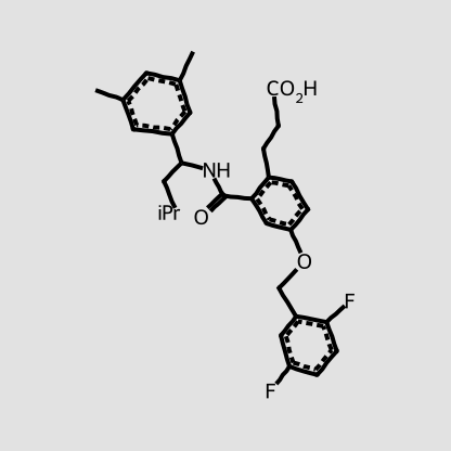 Cc1cc(C)cc(C(CC(C)C)NC(=O)c2cc(OCc3cc(F)ccc3F)ccc2CCC(=O)O)c1